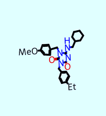 CCc1ccc(Cn2c(=O)nc(NCC3CCCCC3)n(Cc3ccc(OC)cc3)c2=O)cc1